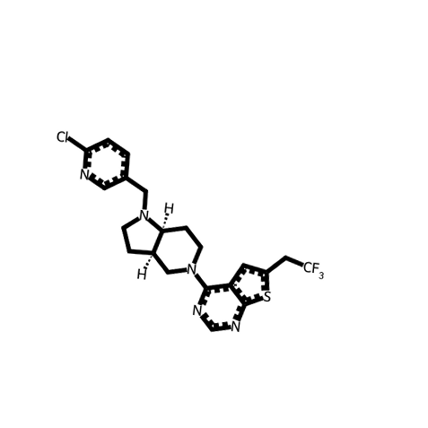 FC(F)(F)Cc1cc2c(N3CC[C@H]4[C@H](CCN4Cc4ccc(Cl)nc4)C3)ncnc2s1